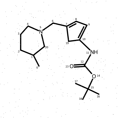 CC1CCCN(CC2=CC=C(NC(=O)OC(C)(C)C)C2)C1